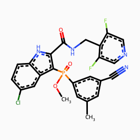 COP(=O)(c1cc(C)cc(C#N)c1)c1c(C(=O)NCc2c(F)cncc2F)[nH]c2ccc(Cl)cc12